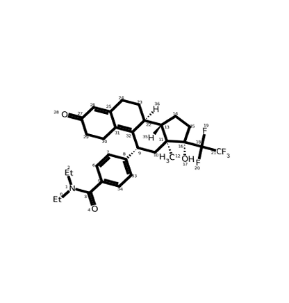 CCN(CC)C(=O)c1ccc([C@H]2C[C@@]3(C)[C@@H](CC[C@@]3(O)C(F)(F)C(F)(F)F)[C@@H]3CCC4=CC(=O)CCC4=C32)cc1